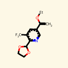 C=C(OCC)c1cnc(C2OCCO2)c(C(F)(F)F)c1